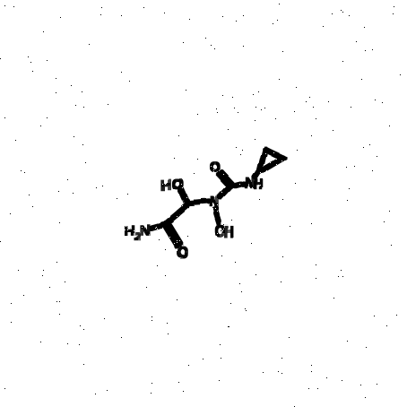 NC(=O)C(O)N(O)C(=O)NC1CC1